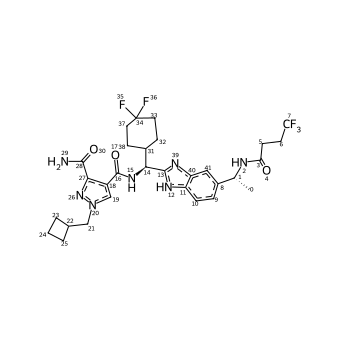 C[C@@H](NC(=O)CCC(F)(F)F)c1ccc2[nH]c([C@@H](NC(=O)c3cn(CC4CCC4)nc3C(N)=O)C3CCC(F)(F)CC3)nc2c1